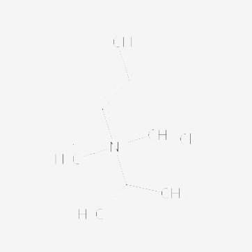 CC=C[N+](C)(C)C(C)C.[Cl-]